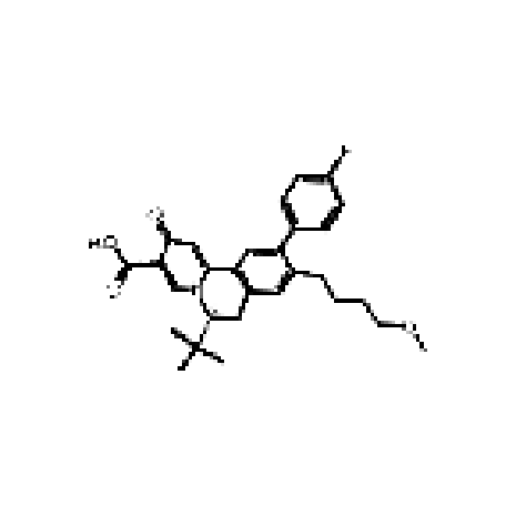 COCCCCc1cc2c(cc1-c1ccc(F)cc1)-c1cc(=O)c(C(=O)O)cn1[C@H](C(C)(C)C)C2